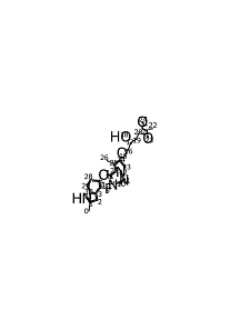 Cc1cc2c(F)c(Oc3ncnn4cc(OC[C@@H](O)CCS(C)(=O)=O)c(C)c34)ccc2[nH]1